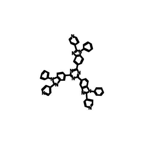 c1ccc(-n2c(-c3ccncc3)nc3cc(-c4nc(-c5ccc6c(c5)nc(-c5ccncc5)n6-c5ccccc5)nc(-c5ccc6c(c5)nc(-c5ccncc5)n6-c5ccccc5)n4)ccc32)cc1